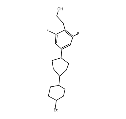 CCC1CCC(C2CCC(c3cc(F)c(CCO)c(F)c3)CC2)CC1